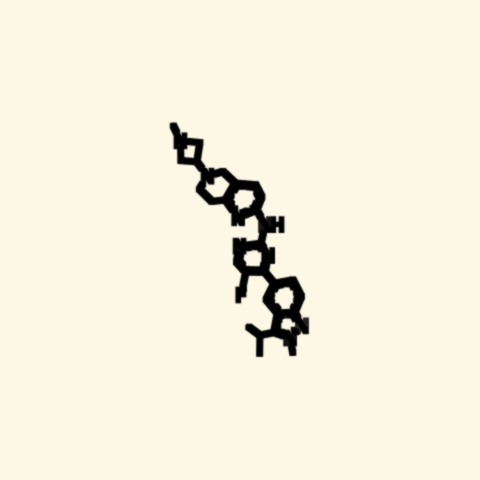 CC(C)c1c2cc(-c3nc(Nc4ccc5c(n4)CCN(C4CN(C)C4)C5)ncc3F)ccc2nn1C